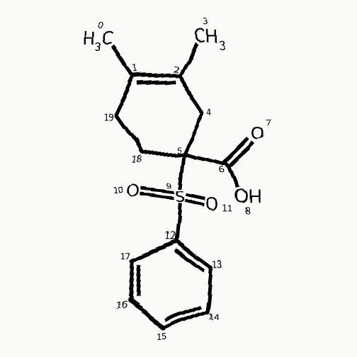 CC1=C(C)CC(C(=O)O)(S(=O)(=O)c2ccccc2)CC1